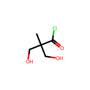 CC(CO)(CO)C(=O)Cl